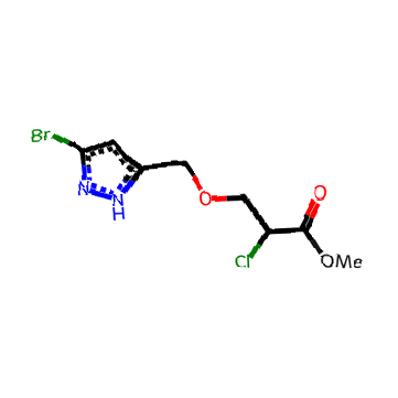 COC(=O)C(Cl)COCc1cc(Br)n[nH]1